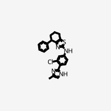 Cc1c[nH]c(-c2ccc(Nc3nc4c(s3)CCCC4c3ccccc3)cc2Cl)n1